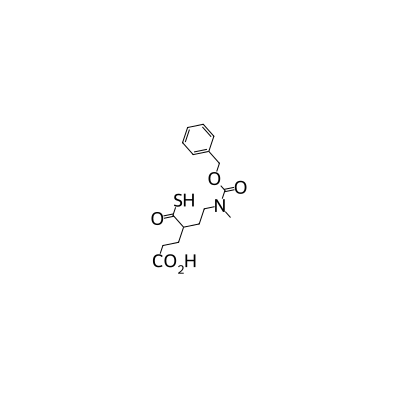 CN(CCC(CCC(=O)O)C(=O)S)C(=O)OCc1ccccc1